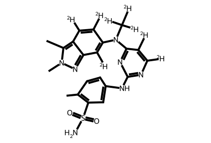 [2H]c1nc(Nc2ccc(C)c(S(N)(=O)=O)c2)nc(N(c2c([2H])c([2H])c3c(C)n(C)nc3c2[2H])C([2H])([2H])[2H])c1[2H]